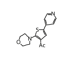 CC(=O)c1cc(-c2ccncc2)sc1N1CCOCC1